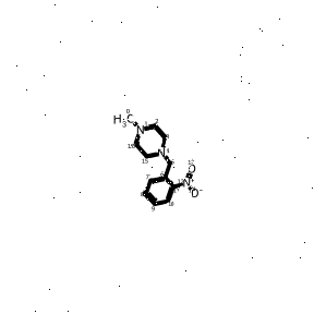 CN1CCN(Cc2ccccc2[N+](=O)[O-])CC1